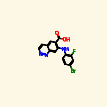 O=C(O)c1cc2ccnnc2cc1Nc1ccc(Br)cc1F